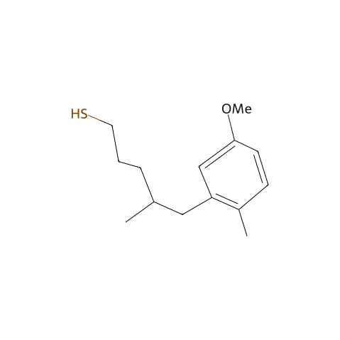 COc1ccc(C)c(CC(C)CCCS)c1